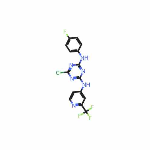 Fc1ccc(Nc2nc(Cl)nc(Nc3ccnc(C(F)(F)F)c3)n2)cc1